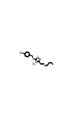 C\C=C/C=N\C=C\c1nnc(SCc2ccc(CC)cc2)n1CC